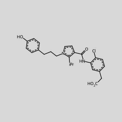 CC(C)c1c(C(=O)Nc2cc(CC(=O)O)ccc2Cl)ccn1CCCc1ccc(O)cc1